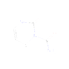 NC(=O)N1CC=CNC1=O